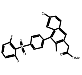 COC(=O)Cc1cc2ccc(Cl)cc2c(-c2ccc(S(=O)(=O)c3c(F)cccc3F)cc2)c1C